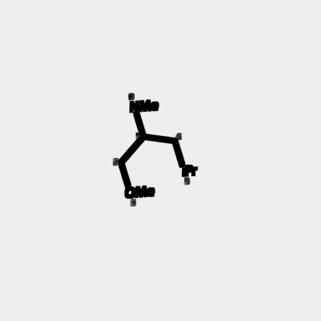 CNC(COC)CC(C)C